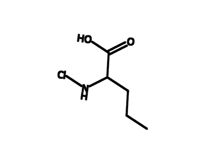 CCCC(NCl)C(=O)O